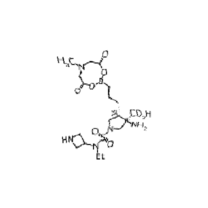 CCN(C1CNC1)S(=O)(=O)N1C[C@H](CCCB2OC(=O)CN(C)CC(=O)O2)[C@](N)(C(=O)O)C1